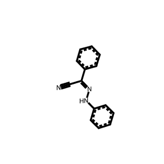 N#CC(=NNc1ccccc1)c1ccccc1